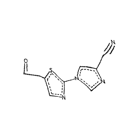 N#Cc1cn(-c2ncc(C=O)s2)cn1